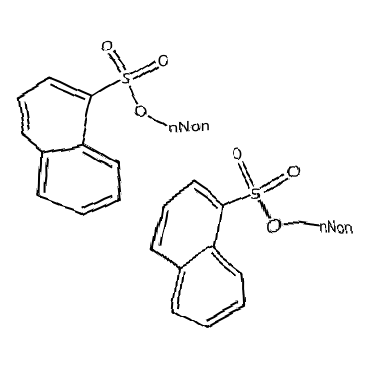 CCCCCCCCCOS(=O)(=O)c1cccc2ccccc12.CCCCCCCCCOS(=O)(=O)c1cccc2ccccc12